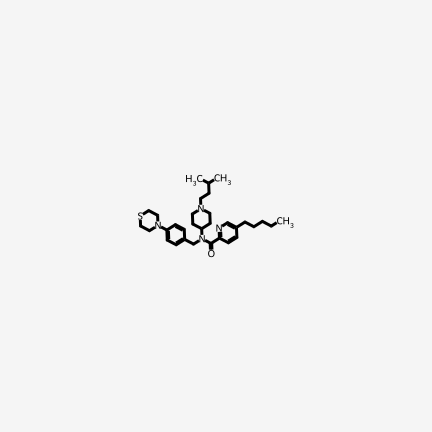 CCCCCc1ccc(C(=O)N(Cc2ccc(N3CCSCC3)cc2)C2CCN(CCC(C)C)CC2)nc1